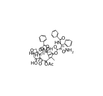 CC(=O)O[C@H]1C(=O)[C@@]2(C)[C@H]([C@H](OC(=O)c3ccccc3)[C@]3(O)C[C@H](OC(=O)[C@@H](ON)[C@@H](NC(=O)c4ccccc4)c4ccccc4)C(C)=C1C3(C)C)[C@]1(OC(C)=O)CO[C@@H]1C[C@@H]2O